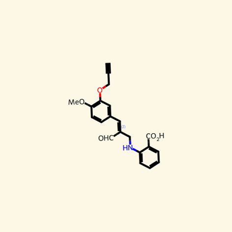 C#CCOc1cc(/C=C(\C=O)CNc2ccccc2C(=O)O)ccc1OC